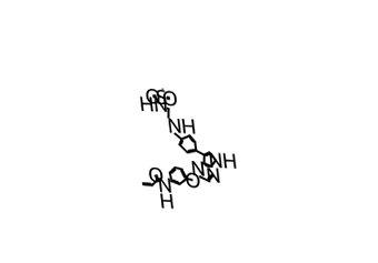 C=CC(=O)Nc1cccc(Oc2cnc3[nH]cc(-c4ccc(CNCCNS(C)(=O)=O)cc4)c3n2)c1